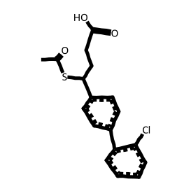 CC(=O)SC(CCC(=O)O)c1ccc(-c2ccccc2Cl)cc1